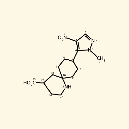 Cn1ncc([N+](=O)[O-])c1C1CCC2(CC1)CC(C(=O)O)CCN2